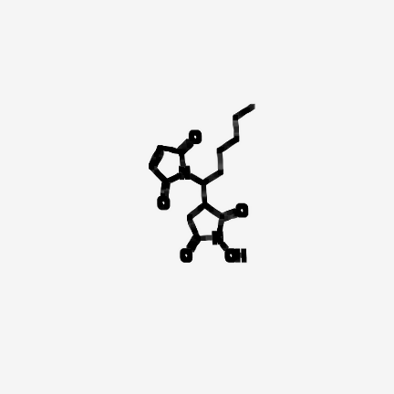 CCCCCC(C1CC(=O)N(O)C1=O)N1C(=O)C=CC1=O